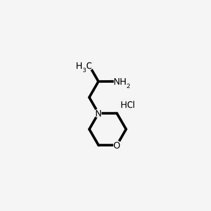 CC(N)CN1CCOCC1.Cl